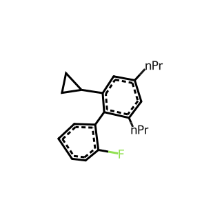 CCCc1cc(CCC)c(-c2ccccc2F)c(C2CC2)c1